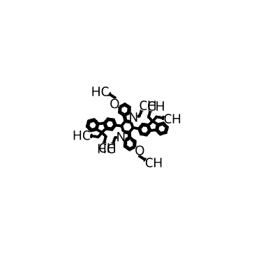 C#CCOc1ccc2c(c1)c1c(n2CC#C)C(c2ccc3c(c2)C(CC#C)(CC#C)c2ccccc2-3)c2c(n(CC#C)c3ccc(OCC#C)cc23)C1c1ccc2c(c1)C(CC#C)(CC#C)c1ccccc1-2